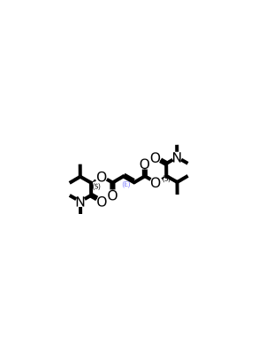 CC(C)[C@H](OC(=O)/C=C/C(=O)O[C@H](C(=O)N(C)C)C(C)C)C(=O)N(C)C